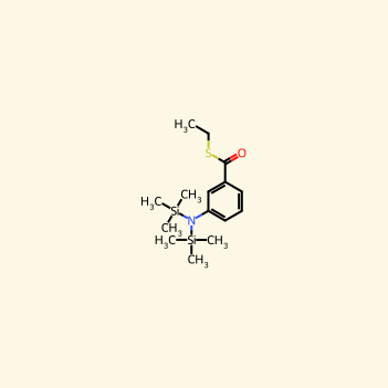 CCSC(=O)c1cccc(N([Si](C)(C)C)[Si](C)(C)C)c1